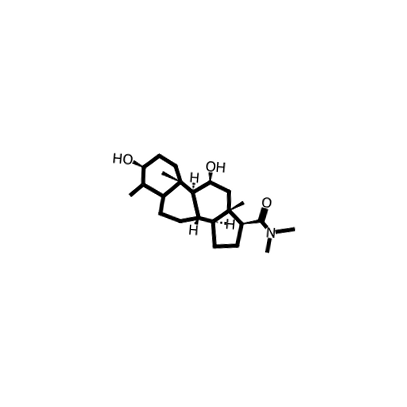 CC1C2CC[C@@H]3[C@H]([C@@H](O)C[C@]4(C)[C@@H](C(=O)N(C)C)CC[C@@H]34)[C@@]2(C)CC[C@@H]1O